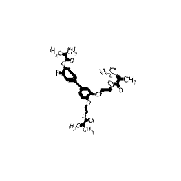 C=C(C)C(=O)OCCOc1ccc(-c2ccc(OC(=O)C(=C)C)c(F)c2)cc1OCCOC(=O)C(=C)C